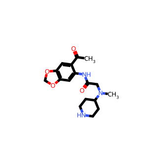 CC(=O)c1cc2c(cc1NC(=O)CN(C)C1CCNCC1)OCO2